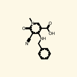 Cn1cc(C(=O)O)c(NCc2ccccc2)c(C#N)c1=O